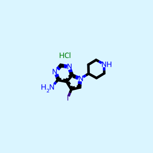 Cl.Nc1ncnc2c1c(I)cn2C1CCNCC1